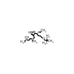 CCC[C@H](CCCOCC(C)(C)C)c1n[nH]cc1CN(C)CCN(C)C